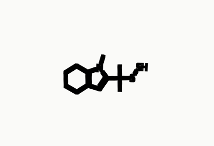 Cn1c(C(C)(C)SS)cc2c1CCCC2